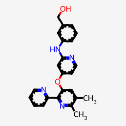 Cc1cc(Oc2ccnc(Nc3cccc(CO)c3)c2)c(-c2ccccn2)nc1C